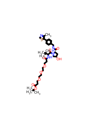 Cc1ncsc1-c1ccc(CNC(=O)[C@@H]2C[C@@H](O)CN2C(=O)C(NC(=O)CCOCCOCCOCCC(=O)OC(C)(C)C)C(C)(C)C)cc1